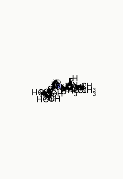 CC(C)(C)CC(=O)Nc1c(F)cc(C(=O)C/N=c2\sccn2COC2O[C@H](CO)[C@@H](O)[C@H](O)[C@H]2O)cc1F